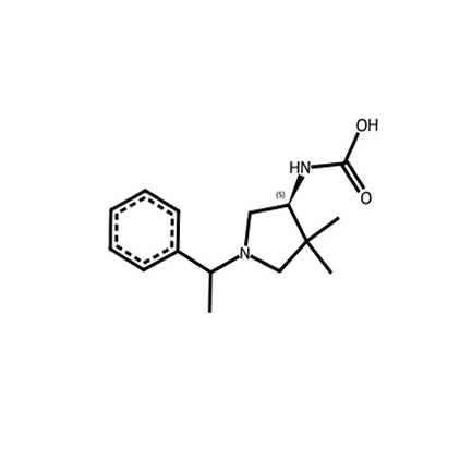 CC(c1ccccc1)N1C[C@@H](NC(=O)O)C(C)(C)C1